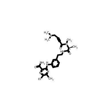 CCc1nc(C(N)=O)c(Nc2cccc(CCNC(=O)[C@H](C)N(C)C(=O)C#CCN(C)C)c2)nc1C